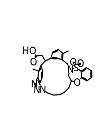 Cc1ccc2cc1CN1CC(CCCCCn3nnc4c(C)c(ccc43)C2CC(=O)O)Oc2ccccc2S1(=O)=O